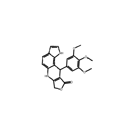 COc1cc(C2C3=C(COC3=O)Nc3ccc4cc[nH]c4c32)cc(OC)c1OC